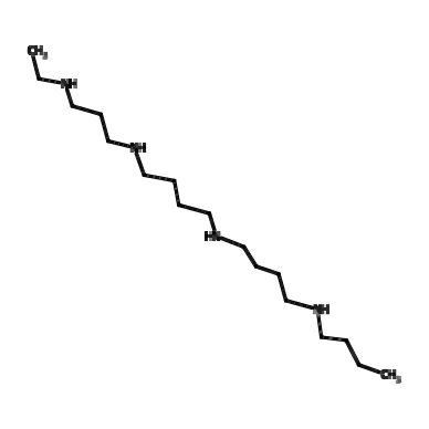 CCCCNCCCCNCCCCNCCCNCC